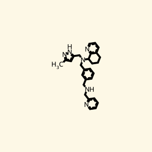 Cc1cc(CN(Cc2cccc(CNCc3ccccn3)c2)C2CCCc3cccnc32)[nH]n1